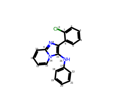 Clc1ccccc1-c1nc2ccccn2c1Nc1ccccc1